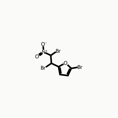 O=[N+]([O-])C(Br)C(Br)c1ccc(Br)o1